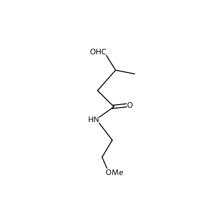 COCCNC(=O)CC(C)C=O